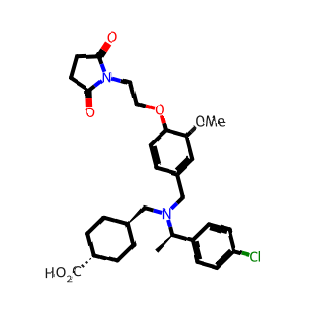 COC1C=C(CN(C[C@H]2CC[C@H](C(=O)O)CC2)[C@H](C)c2ccc(Cl)cc2)C=CC1OCCN1C(=O)CCC1=O